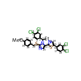 CCC(c1ccc(Cl)c(Cl)c1)n1c(-c2ncc(-c3ccc(Cl)c(Cl)c3)s2)cnc1SCc1ccc(OC)cc1